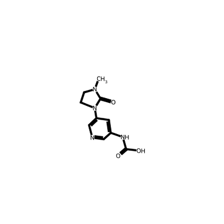 CN1CCN(c2cncc(NC(=O)O)c2)C1=O